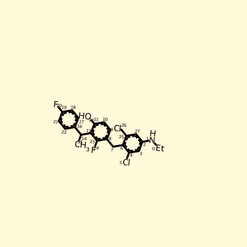 CCNc1cc(Cl)c(Cc2ccc(O)c(C(C)c3ccc(F)cc3)c2F)c(Cl)c1